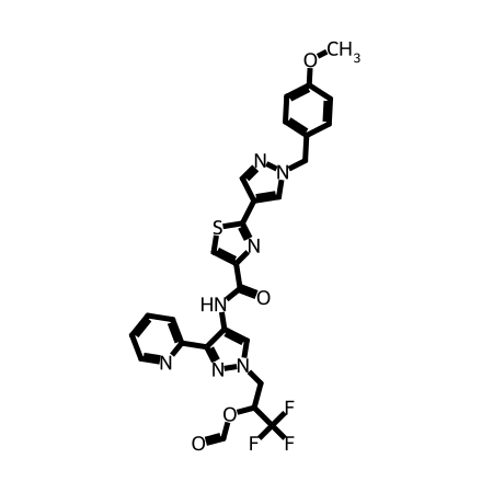 COc1ccc(Cn2cc(-c3nc(C(=O)Nc4cn(CC(OC=O)C(F)(F)F)nc4-c4ccccn4)cs3)cn2)cc1